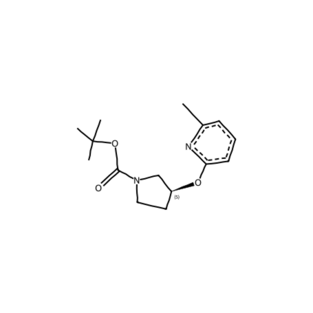 Cc1cccc(O[C@H]2CCN(C(=O)OC(C)(C)C)C2)n1